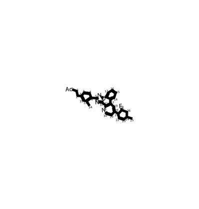 CC(=O)CCc1ccc(-c2noc(C3=C(c4ccccc4)C=C(C4C=CC(C)CC4F)C=C=N3)n2)c(C)c1